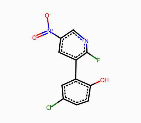 O=[N+]([O-])c1cnc(F)c(-c2cc(Cl)ccc2O)c1